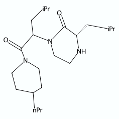 CCCC1CCN(C(=O)C(CC(C)C)N2CCN[C@@H](CC(C)C)C2=O)CC1